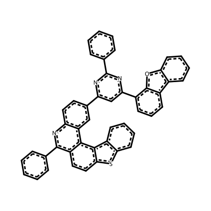 c1ccc(-c2nc(-c3ccc4nc(-c5ccccc5)c5ccc6sc7ccccc7c6c5c4c3)cc(-c3cccc4c3oc3ccccc34)n2)cc1